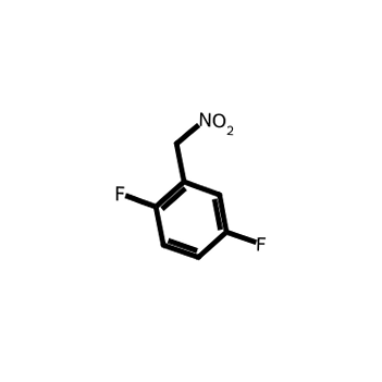 O=[N+]([O-])Cc1cc(F)ccc1F